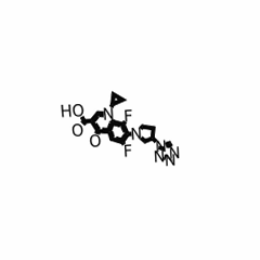 O=C(O)c1cn(C2CC2)c2c(F)c(N3CCC(n4cnnn4)C3)c(F)cc2c1=O